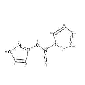 O=C(Oc1ccon1)c1ccccc1